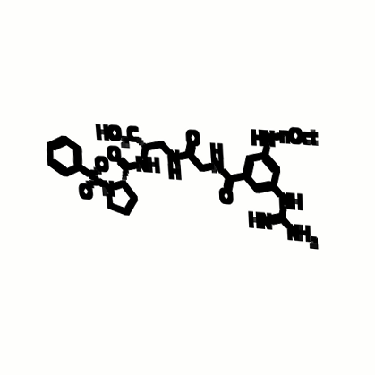 CCCCCCCCNc1cc(NC(=N)N)cc(C(=O)NCC(=O)NC[C@H](NC(=O)[C@@H]2CCCN2S(=O)(=O)c2ccccc2)C(=O)O)c1